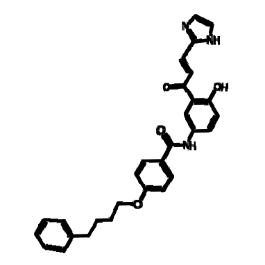 O=C(Nc1ccc(O)c(C(=O)C=Cc2ncc[nH]2)c1)c1ccc(OCCCCc2ccccc2)cc1